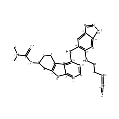 CN(C)C(=O)OC1CCc2c(sc3ncnc(Nc4cc5cn[nH]c5cc4OCCN=[N+]=[N-])c23)C1